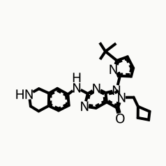 CC(C)(C)c1cccc(-n2c3nc(Nc4ccc5c(c4)CNCC5)ncc3c(=O)n2CC2CCC2)n1